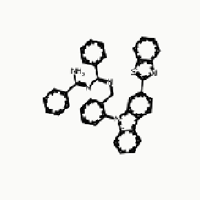 N/C(=N\C(=N/Cc1ccccc1-n1c2ccccc2c2ccc(-c3nc4ccccc4s3)cc21)c1ccccc1)c1ccccc1